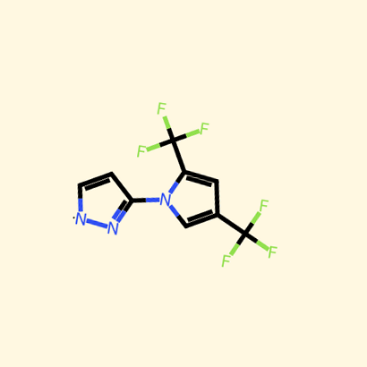 FC(F)(F)c1cc(C(F)(F)F)n(C2=N[N]C=C2)c1